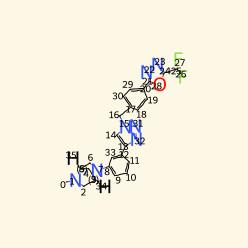 CN1C[C@@H]2C[C@H]1CN2c1cccc(-c2cn(Cc3ccc(-c4nnc(C(F)F)o4)cc3)nn2)c1